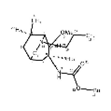 CO[C@@H]1C2[C@H](C)CC(C[C@@H]1NC(=O)OC(C)(C)C)CN2CCC(F)(F)F